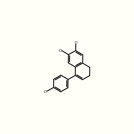 Clc1ccc(C2=CCCc3cc(Cl)c(Cl)cc32)cc1